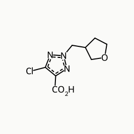 O=C(O)c1nn(CC2CCOC2)nc1Cl